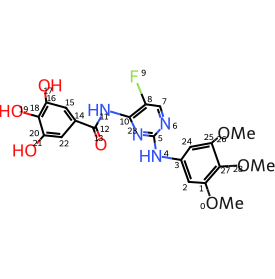 COc1cc(Nc2ncc(F)c(NC(=O)c3cc(O)c(O)c(O)c3)n2)cc(OC)c1OC